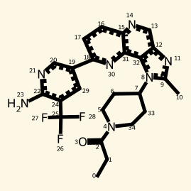 CCC(=O)N1CCC(n2c(C)nc3cnc4ccc(-c5cnc(N)c(C(F)(F)F)c5)nc4c32)CC1